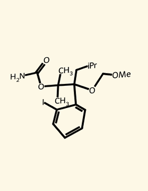 COCOC(CC(C)C)(c1ccccc1I)C(C)(C)OC(N)=O